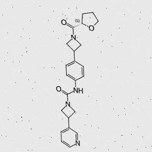 O=C(Nc1ccc(C2CN(C(=O)[C@@H]3CCCO3)C2)cc1)N1CC(c2cccnc2)C1